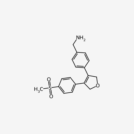 CS(=O)(=O)c1ccc(C2=C(c3ccc(CN)cc3)COC2)cc1